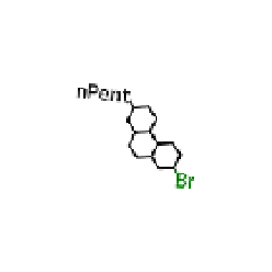 CCCCCC1CCC2C(CCC3CC(Br)CCC32)C1